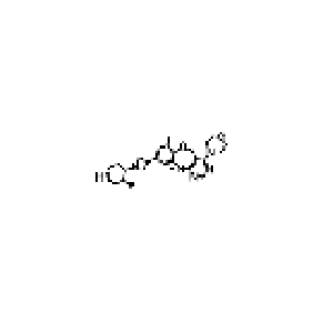 Cc1cc(C2CN(C3CCNCC3F)C2)cc2c1OCc1c(ncnc1N1CCOCC1)N2